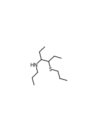 CCCNC(CC)C(CC)SCCC